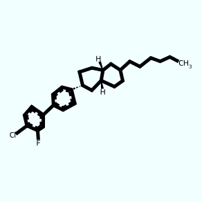 CCCCCCC1CC[C@@H]2C[C@H](c3ccc(-c4ccc(Cl)c(F)c4)cc3)CC[C@@H]2C1